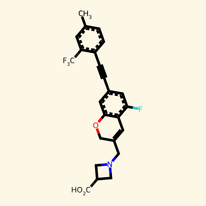 Cc1ccc(C#Cc2cc(F)c3c(c2)OCC(CN2CC(C(=O)O)C2)=C3)c(C(F)(F)F)c1